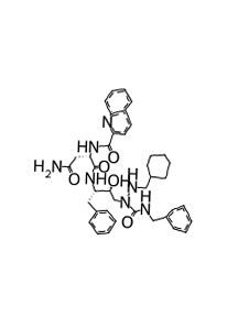 NC(=O)C[C@H](NC(=O)c1ccc2ccccc2n1)C(=O)N[C@@H](Cc1ccccc1)[C@@H](O)CN(NCC1CCCCC1)C(=O)NCc1ccccc1